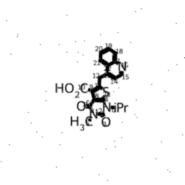 CC(C)n1c(=O)n(C)c(=O)c2c(C(=O)O)c(Cc3ccnc4ccccc34)sc21